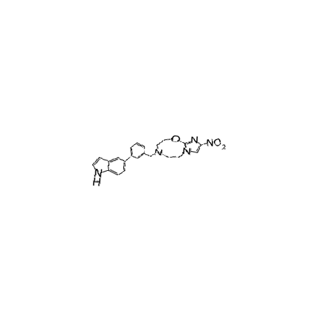 O=[N+]([O-])c1cn2c(n1)OCCN(Cc1cccc(-c3ccc4[nH]ccc4c3)c1)CC2